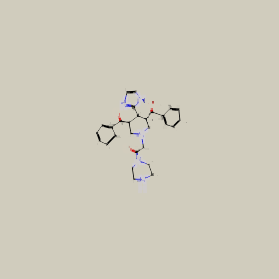 Cn1ccnc1C1C(C(=O)c2ccccc2)CN(CC(=O)N2CCNCC2)CC1C(=O)c1ccccc1